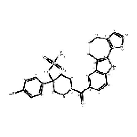 CS(=O)(=O)OC1(c2ccc(F)cc2)CCN(C(=O)c2ccc3[nH]c4c(c3c2)CCCc2cn[nH]c2-4)CC1